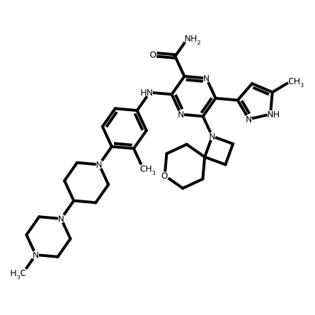 Cc1cc(-c2nc(C(N)=O)c(Nc3ccc(N4CCC(N5CCN(C)CC5)CC4)c(C)c3)nc2N2CCC23CCOCC3)n[nH]1